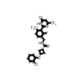 O=c1cc(C(F)(F)F)nc(-c2c(C(F)(F)F)ccc(CNC(=O)[C@H]3C[C@@H](Oc4ccccc4Cl)C3)c2F)[nH]1